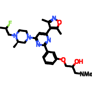 CNCC(O)COc1cccc(-c2nc(-c3c(C)noc3C)cc(N3CCN(CC(C)F)[C@H](C)C3)n2)c1